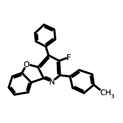 Cc1ccc(-c2nc3c(oc4ccccc43)c(-c3ccccc3)c2F)cc1